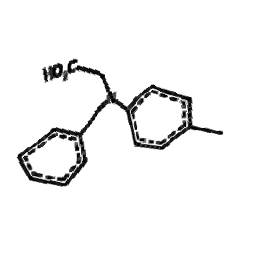 Cc1ccc(N(CC(=O)O)c2ccccc2)cc1